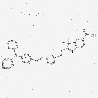 CC1(C)C(/C=C/c2ccc(/C=C/c3ccc(N(c4ccccc4)c4ccccc4)cc3)s2)=Nc2ccc(C(=O)O)cc21